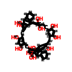 OC1=C2C3=C(O)C(C1)Cc1cc(c(O)cc1O)Cc1cc(O)c4c(c1O)C1c5ccccc5C4c4c(O)cc(c(O)c41)Cc1cc(c(O)cc1O)Cc1cc(O)c4c(c1O)C2c1ccccc1C34